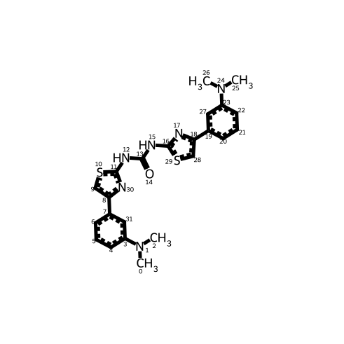 CN(C)c1cccc(-c2csc(NC(=O)Nc3nc(-c4cccc(N(C)C)c4)cs3)n2)c1